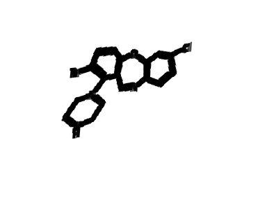 Clc1ccc2c(c1)Oc1ccc(Br)c(N3CCNCC3)c1C=N2